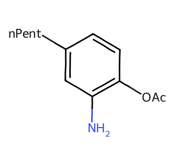 CCCCCc1ccc(OC(C)=O)c(N)c1